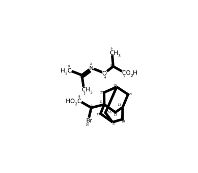 CC(C)=NOC(C)C(=O)O.O=C(O)C(Br)C12CC3CC(CC(C3)C1)C2